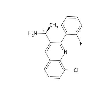 C[C@H](N)c1cc2cccc(Cl)c2nc1-c1ccccc1F